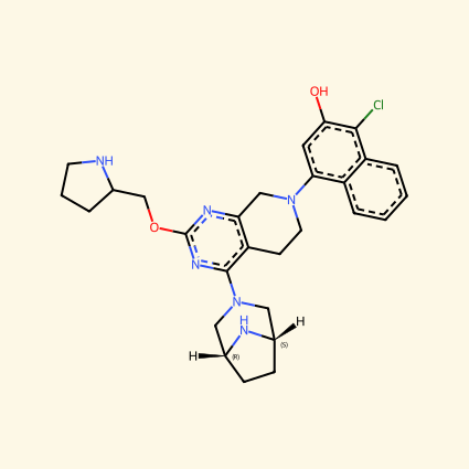 Oc1cc(N2CCc3c(nc(OCC4CCCN4)nc3N3C[C@H]4CC[C@@H](C3)N4)C2)c2ccccc2c1Cl